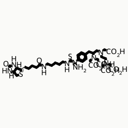 NN(C(=S)NCCCCCNC(=O)CCCC[C@@H]1SC[C@@H]2NC(=O)N[C@@H]21)c1ccc(CC(CN(CCN(CC(=O)O)CC(=O)O)CC(=O)O)N(CC(=O)O)CC(=O)O)cc1